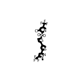 Cn1nc(-c2cc(-c3ccc(S(=O)(=O)c4ncc(C(F)(F)F)cc4Cl)s3)[c]s2)cc1C(F)(F)F